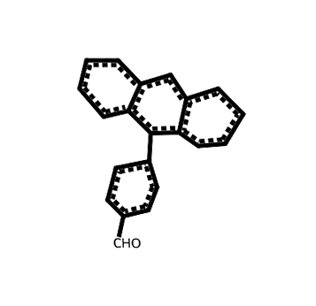 O=Cc1ccc(-c2c3ccccc3cc3ccccc23)cc1